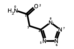 NC(=O)CC1=NN=N[N]1